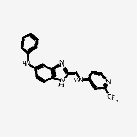 FC(F)(F)c1cc(NCc2nc3cc(Nc4ccccc4)ccc3[nH]2)ccn1